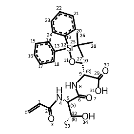 C=CC(=O)N[C@H](C(=O)N[C@H](CO[Si](c1ccccc1)(c1ccccc1)C(C)(C)C)C(=O)O)[C@@H](C)O